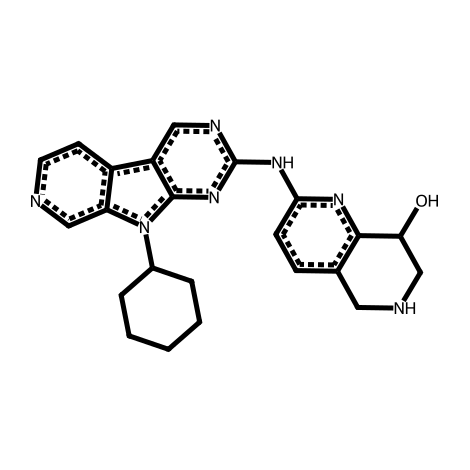 OC1CNCc2ccc(Nc3ncc4c5ccncc5n(C5CCCCC5)c4n3)nc21